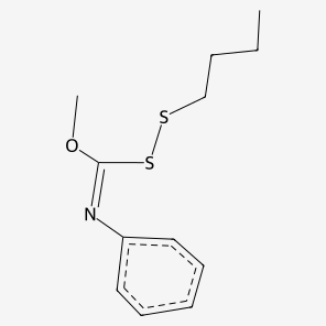 CCCCSSC(=Nc1ccccc1)OC